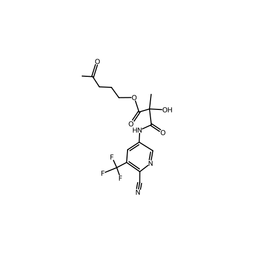 CC(=O)CCCOC(=O)C(C)(O)C(=O)Nc1cnc(C#N)c(C(F)(F)F)c1